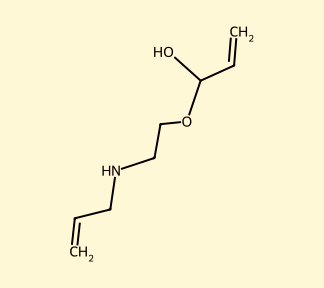 C=CCNCCOC(O)C=C